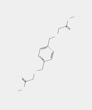 COC(=O)COCc1ccc(COCC(=O)OC)cc1